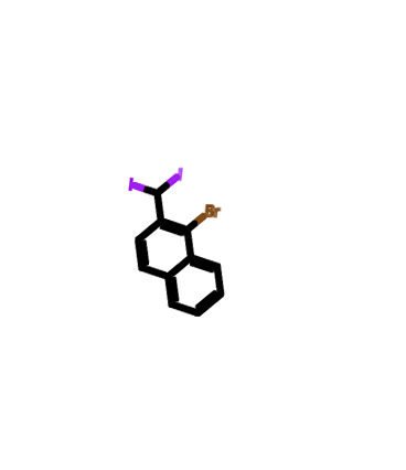 Brc1c(C(I)I)ccc2ccccc12